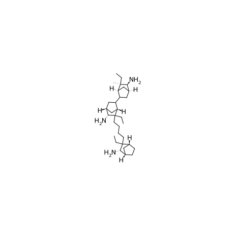 CCC1(CCCCC2(CC)[C@@H]3CC[C@@H](C3)[C@@H]2N)[C@@H]2C[C@@H](CC2C2C[C@H]3C[C@@H]2[C@@](C)(CC)[C@H]3N)[C@H]1N